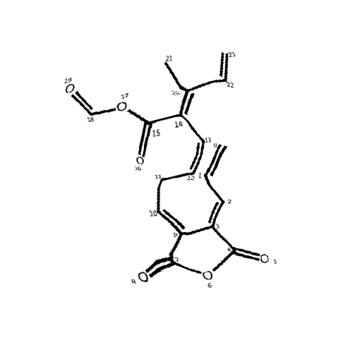 C=C/C=C1/C(=O)OC(=O)/C1=C/C/C=C\C(C(=O)OC=O)=C(\C)C=C